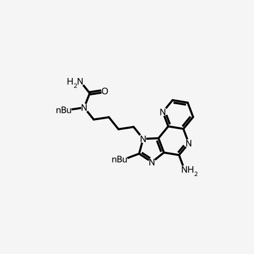 CCCCc1nc2c(N)nc3cccnc3c2n1CCCCN(CCCC)C(N)=O